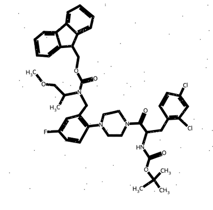 COCC(C)N(Cc1cc(F)ccc1N1CCN(C(=O)C(Cc2ccc(Cl)cc2Cl)NC(=O)OC(C)(C)C)CC1)C(=O)OCC1c2ccccc2-c2ccccc21